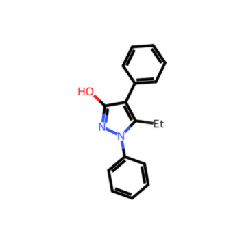 CCc1c(-c2ccccc2)c(O)nn1-c1ccccc1